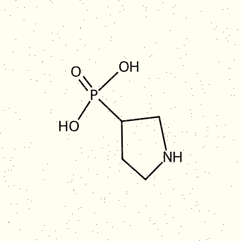 O=P(O)(O)C1CCNC1